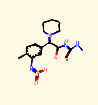 CNC(=S)NC(=O)C(c1ccc(C)c(N=S(=O)=O)c1)N1CCCCC1